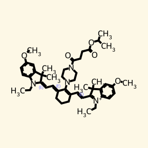 CCN1/C(=C/C=C2\CCCC(/C=C/C3=[N+](CC)c4ccc(OC)cc4C3(C)C)=C2N2CCN(C(=O)CCC(=O)OC(C)C)CC2)C(C)(C)c2cc(OC)ccc21